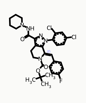 CC(C)(C)OC(=O)N1CCc2c(C(=O)NN3CCCCC3)nn(-c3ccc(Cl)cc3Cl)c2/C1=C/c1ccc(F)cc1